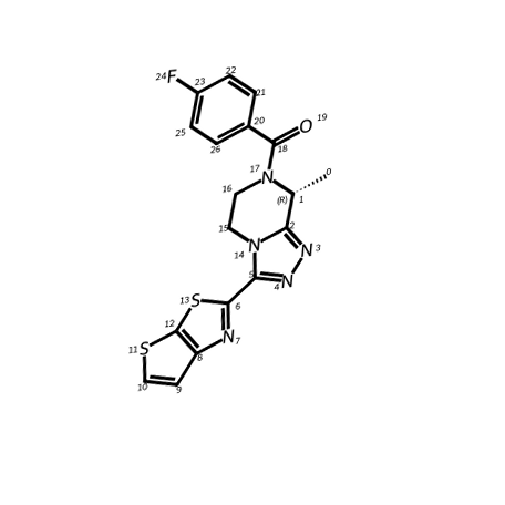 C[C@@H]1c2nnc(-c3nc4ccsc4s3)n2CCN1C(=O)c1ccc(F)cc1